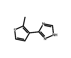 Cc1sccc1-c1nc[nH]n1